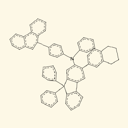 c1ccc(N(c2ccc(-c3cc4ccccc4c4ccccc34)cc2)c2cc3c(cc2-c2ccc4c(c2)CCCC4)-c2ccccc2C3(c2ccccc2)c2ccccc2)cc1